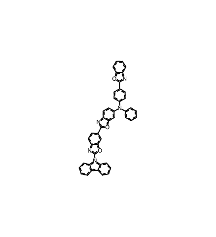 c1ccc(N(c2ccc(-c3nc4ccccc4o3)cc2)c2ccc3nc(-c4ccc5nc(-n6c7ccccc7c7ccccc76)oc5c4)oc3c2)cc1